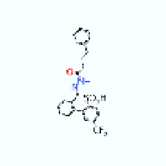 O=C(CCCc1ccccc1)N/N=C/c1ccccc1-c1cc(C(F)(F)F)ccc1S(=O)(=O)O